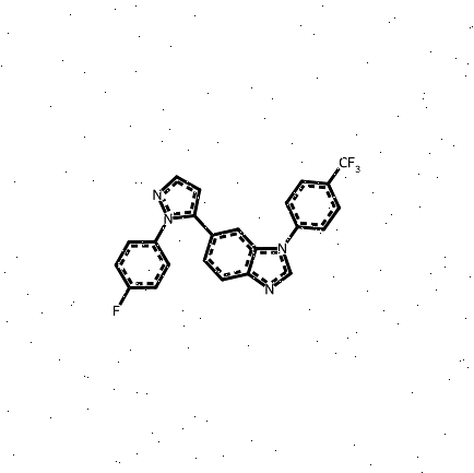 Fc1ccc(-n2nccc2-c2ccc3ncn(-c4ccc(C(F)(F)F)cc4)c3c2)cc1